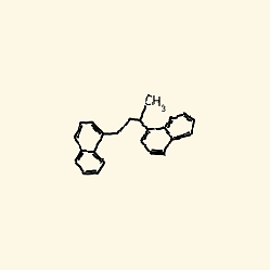 CC(CCc1cccc2ccccc12)c1cccc2ccccc12